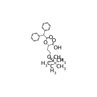 CC(C)(C)[Si](C)(C)OCCC(OC(=O)C(c1ccccc1)c1ccccc1)C(=O)O